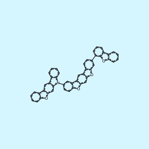 c1ccc2c(c1)oc1cc3c(cc12)c1ccccc1n3-c1ccc2oc3cc4oc5cc(-c6cccc7c6oc6ccccc67)ccc5c4cc3c2c1